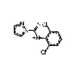 S=C(Nc1c(Cl)cccc1Cl)n1cccn1